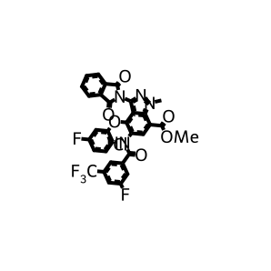 COC(=O)c1cc(NC(=O)c2cc(F)cc(C(F)(F)F)c2)c(Oc2cc(F)ccc2Cl)c2c(N3C(=O)c4ccccc4C3=O)nn(C)c12